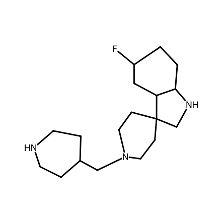 FC1CCC2NCC3(CCN(CC4CCNCC4)CC3)C2C1